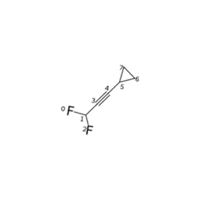 FC(F)C#CC1CC1